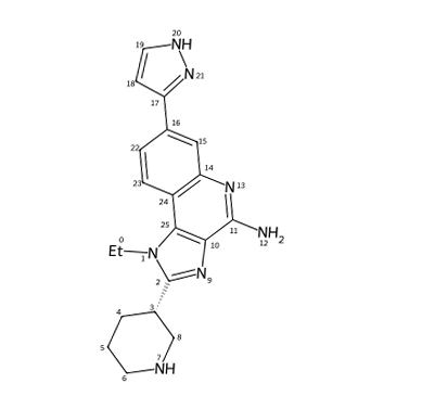 CCn1c([C@H]2CCCNC2)nc2c(N)nc3cc(-c4cc[nH]n4)ccc3c21